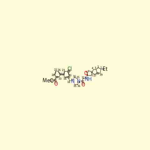 CCC1CC2CC(C)(CC(=O)NCC(=O)N3CCN(Cc4cc(Cl)cc(-c5cccc(C(=O)OC)c5)c4)CC3)CC2C1